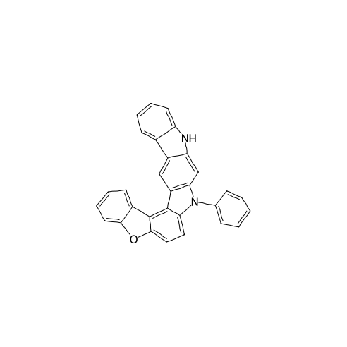 c1ccc(-n2c3cc4[nH]c5ccccc5c4cc3c3c4c(ccc32)oc2ccccc24)cc1